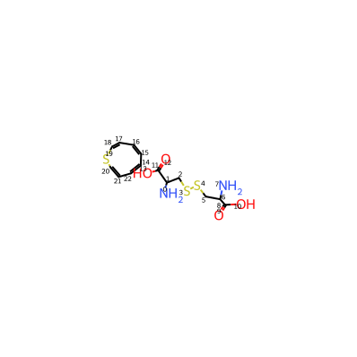 NC(CSSCC(N)C(=O)O)C(=O)O.c1ccccsccc1